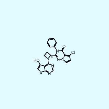 O=c1c2c(Cl)ccn2nc([C@@H]2CCN2c2ncnc3scc(O)c23)n1-c1ccccc1